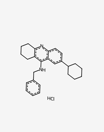 Cl.c1ccc(CNc2c3c(nc4ccc(C5CCCCC5)cc24)CCCC3)cc1